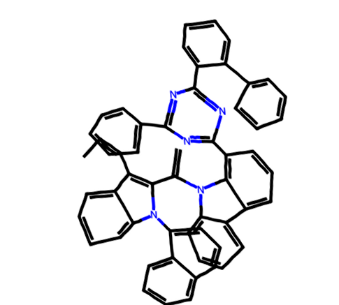 C=C(c1c(/C=C\C)c2ccccc2n1-c1cccc2ccccc12)n1c2ccccc2c2cccc(-c3nc(-c4ccccc4)nc(-c4ccccc4-c4ccccc4)n3)c21